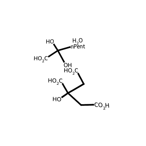 CCCCCC(O)(O)C(=O)O.O.O=C(O)CC(O)(CC(=O)O)C(=O)O